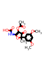 COc1cc(OC)cc(C2(C)OC(NC(=O)O)=C(OC(C)=O)C2=O)c1